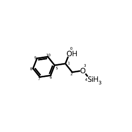 OC(CO[SiH3])c1ccccc1